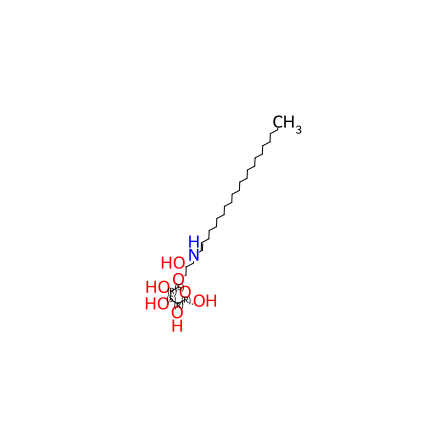 CCCCCCCCCCCCCCCCCCCCC=CNCC(O)CO[C@H]1O[C@H](CO)[C@H](O)[C@H](O)[C@H]1O